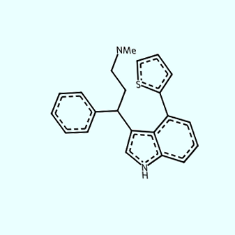 CNCCC(c1ccccc1)c1c[nH]c2cccc(-c3cccs3)c12